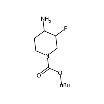 CCCCOC(=O)N1CCC(N)C(F)C1